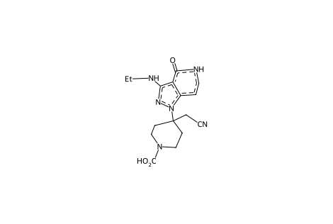 CCNc1nn(C2(CC#N)CCN(C(=O)O)CC2)c2cc[nH]c(=O)c12